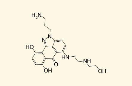 NCCCn1nc2c3c(c(NCCNCCO)ccc31)C(=O)c1c(O)ccc(O)c1-2